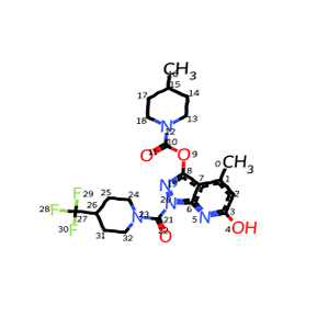 Cc1cc(O)nc2c1c(OC(=O)N1CCC(C)CC1)nn2C(=O)N1CCC(C(F)(F)F)CC1